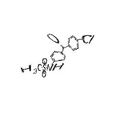 CS(=O)(=O)Nc1ccc(C(=O)c2ccc(Cl)cc2)cc1